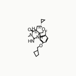 CN1C(=N)N[C@@]2(c3cc(OCC4CCC4)ccc3F)CO[C@@H](C3CC3)C[C@H]2C1=O